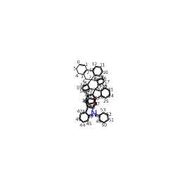 C1=CC2=C(CC1)CC1(c3ccccc32)c2ccccc2C2(c3ccccc3-c3ccccc32)c2c(-c3ccc4c(c3)c3ccccc3n4-c3ccccc3)cccc21